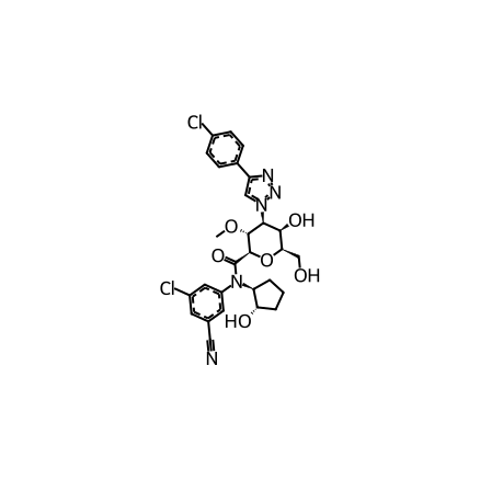 CO[C@@H]1[C@@H](n2cc(-c3ccc(Cl)cc3)nn2)[C@@H](O)[C@@H](CO)O[C@H]1C(=O)N(c1cc(Cl)cc(C#N)c1)[C@H]1CCC[C@@H]1O